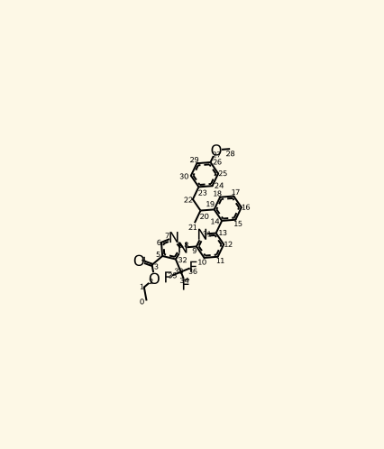 CCOC(=O)c1cnn(-c2cccc(-c3ccccc3C(C)Cc3ccc(OC)cc3)n2)c1C(F)(F)F